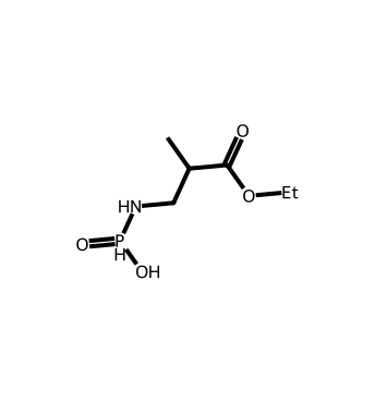 CCOC(=O)C(C)CN[PH](=O)O